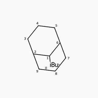 CC[C](C)C1C2CCCC1CCC2